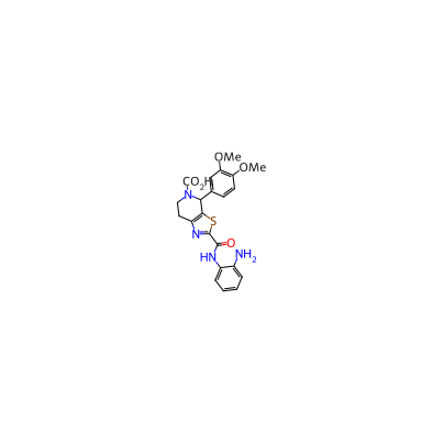 COc1ccc(C2c3sc(C(=O)Nc4ccccc4N)nc3CCN2C(=O)O)cc1OC